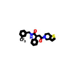 O=C(NCc1cccc(C(F)(F)F)c1)C(CC(=O)N1CCc2sccc2C1)c1ccccc1